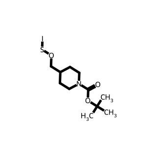 CC(C)(C)OC(=O)N1CCC(COSI)CC1